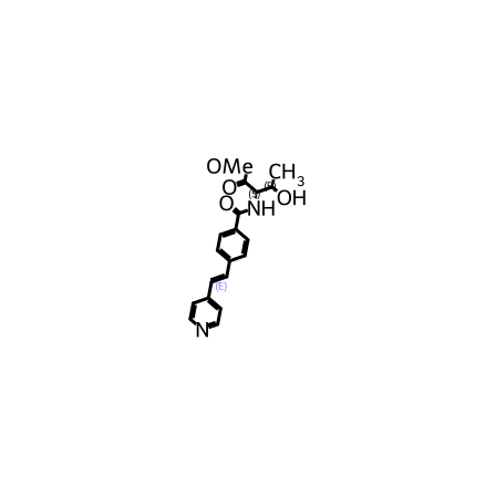 COC(=O)[C@@H](NC(=O)c1ccc(/C=C/c2ccncc2)cc1)[C@@H](C)O